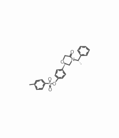 Cc1ccc(S(=O)(=O)Oc2ccc([C@@H]3CN([C@@H](C)c4ccccc4)C(=O)CO3)cc2)cc1